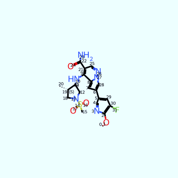 COc1ncc(-c2cc3c(N[C@@H]4CN(S(C)(=O)=O)C[C@@H]4C)c(C(N)=O)cnn3c2)cc1F